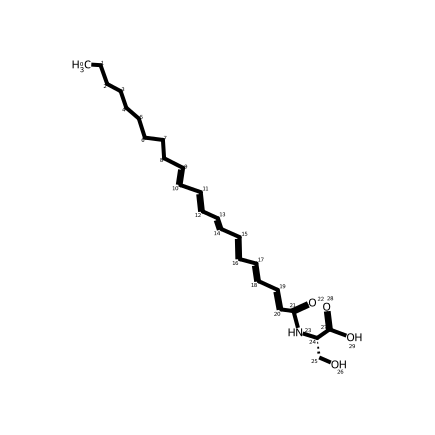 CCCCCCCCCC=CC=CC=CC=CC=CC=CC(=O)N[C@@H](CO)C(=O)O